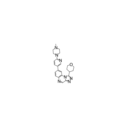 CN1CCN(c2ccc(-c3ccc4ncc5nnc(C6CCOCC6)n5c4c3)cn2)CC1